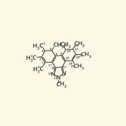 CC1=C(C)C(C)C(C)c2c3c(c4nn(C)nc4c21)C(C)=C(C)C(C)C3C